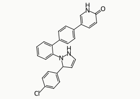 O=c1ccc(-c2ccc(-c3ccccc3N3NC=CC3c3ccc(Cl)cc3)cc2)c[nH]1